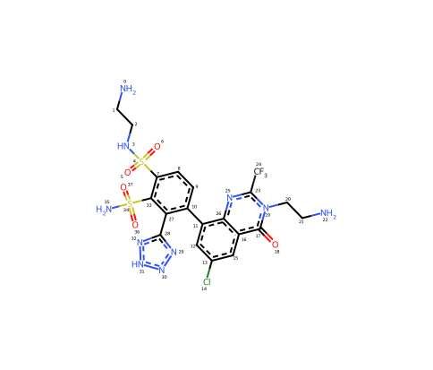 NCCNS(=O)(=O)c1ccc(-c2cc(Cl)cc3c(=O)n(CCN)c(C(F)(F)F)nc23)c(-c2nn[nH]n2)c1S(N)(=O)=O